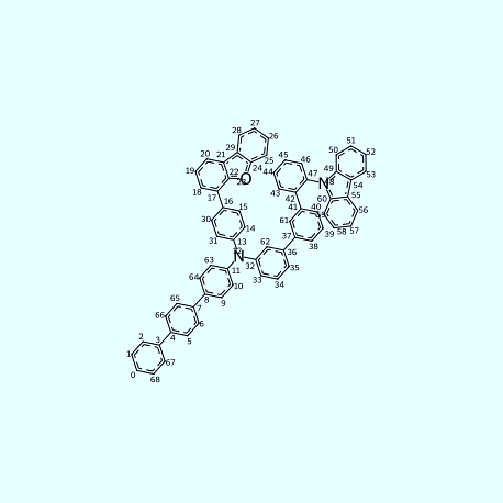 c1ccc(-c2ccc(-c3ccc(N(c4ccc(-c5cccc6c5oc5ccccc56)cc4)c4cccc(-c5cccc(-c6ccccc6-n6c7ccccc7c7ccccc76)c5)c4)cc3)cc2)cc1